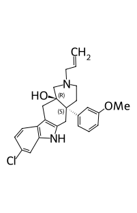 C=CCN1CC[C@@]2(c3cccc(OC)c3)Cc3[nH]c4cc(Cl)ccc4c3C[C@]2(O)C1